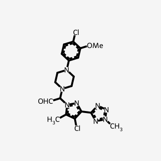 COc1cc(N2CCN(C(C=O)n3nc(-c4nnn(C)n4)c(Cl)c3C)CC2)ccc1Cl